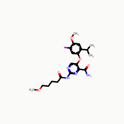 COCCCCC(=O)Nc1ncc(Oc2cc(I)c(OC)cc2C(C)C)c(C(N)=O)n1